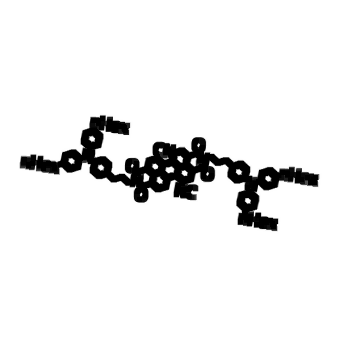 [C-]#[N+]c1cc2c3c(ccc4c5c(C#N)cc6c7c(ccc(c1c34)c75)C(=O)N(CCCc1ccc(N(c3ccc(CCCCCC)cc3)c3ccc(CCCCCC)cc3)cc1)C6=O)C(=O)N(CCCc1ccc(N(c3ccc(CCCCCC)cc3)c3ccc(CCCCCC)cc3)cc1)C2=O